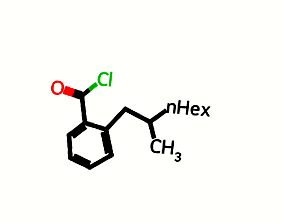 CCCCCCC(C)Cc1ccccc1C(=O)Cl